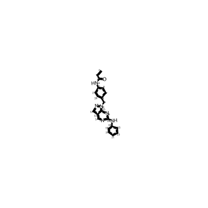 C=CC(=O)Nc1ccc(Cn2ncc3cnc(Nc4ccccc4)nc32)cc1